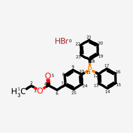 Br.CCOC(=O)Cc1ccc(P(c2ccccc2)c2ccccc2)cc1